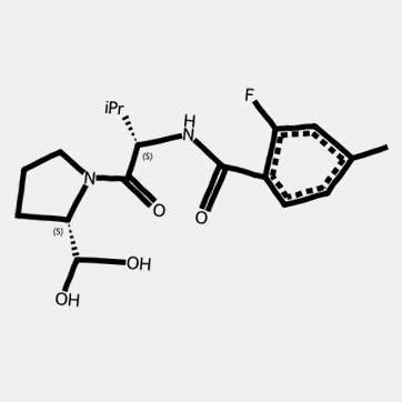 Cc1ccc(C(=O)N[C@H](C(=O)N2CCC[C@H]2C(O)O)C(C)C)c(F)c1